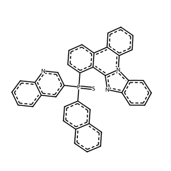 S=P(c1ccc2ccccc2c1)(c1cnc2ccccc2c1)c1cccc2c3ccccc3n3c4ccccc4nc3c12